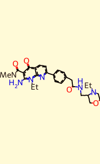 CCN1CCOCC1CNC(=O)Cc1ccc(-c2ccc3c(=O)c(C(=O)NC)c(N)n(CC)c3n2)cc1